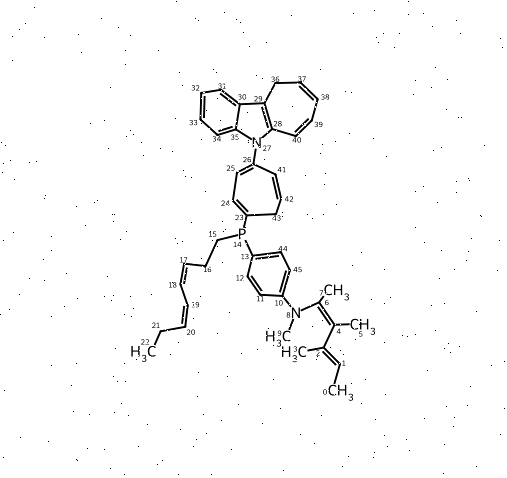 C/C=C(C)/C(C)=C(/C)N(C)c1ccc(P(CC/C=C\C=C/CC)C2=CC=C(n3c4c(c5ccccc53)CC=CC=C4)C=CC2)cc1